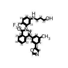 Cc1cc(-c2cnco2)cc(-c2nn(-c3cc(NCCCO)ccc3C(F)(F)F)c(=O)c3ccccc23)c1